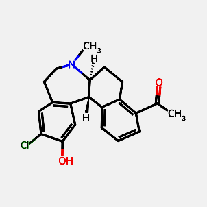 CC(=O)c1cccc2c1CC[C@H]1[C@H]2c2cc(O)c(Cl)cc2CCN1C